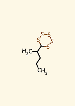 CCCC(C)C1SSSSS1